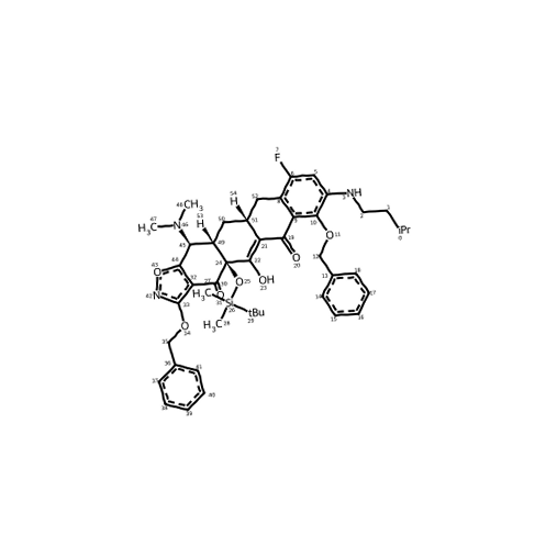 CC(C)CCNc1cc(F)c2c(c1OCc1ccccc1)C(=O)C1=C(O)[C@]3(O[Si](C)(C)C(C)(C)C)C(=O)c4c(OCc5ccccc5)noc4[C@@H](N(C)C)[C@@H]3C[C@@H]1C2